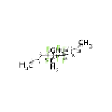 CCCCC(F)(F)C(C)(C)C(F)(F)C(F)(F)CCCC